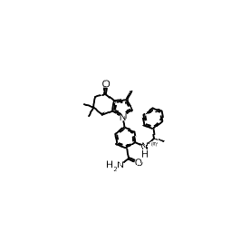 Cc1cn(-c2ccc(C(N)=O)c(N[C@H](C)c3ccccc3)c2)c2c1C(=O)CC(C)(C)C2